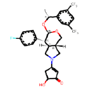 C[C@@H](O[C@H]1OC[C@@H]2CN(C3=CC(=O)C(O)C3)C[C@H]2[C@@H]1c1ccc(F)cc1)c1cc(C(F)(F)F)cc(C(F)(F)F)c1